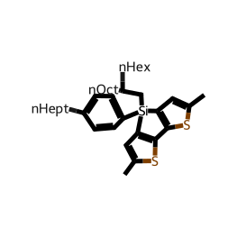 CCCCCCCCC(CCCCCC)C[Si]1(c2ccc(CCCCCCC)cc2)c2cc(C)sc2-c2sc(C)cc21